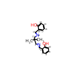 CC(C)(CN=Cc1ccccc1O)CN=Cc1ccccc1O